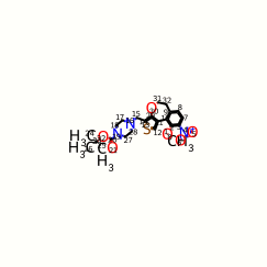 COc1c([N+](=O)[O-])ccc2c1-c1csc(CN3CCN(C(=O)OC(C)(C)C)CC3)c1OCC2